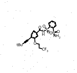 CC(C)(C)C#Cc1ccc(C(=O)NS(=O)(=O)c2ccccc2S(N)(=O)=O)cc1OCCC(F)(F)F